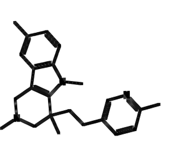 Cc1ccc2c(c1)c1c(n2C)C(C)(CCc2ccc(C)nc2)CN(C)C1